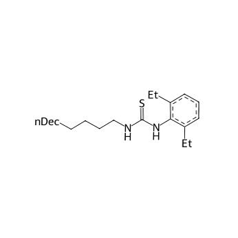 CCCCCCCCCCCCCCNC(=S)Nc1c(CC)cccc1CC